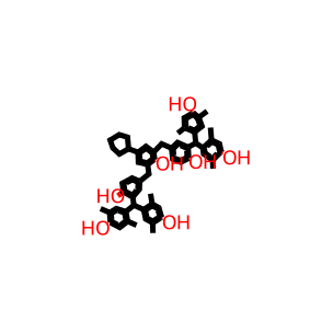 Cc1cc(C(c2cc(C)c(O)cc2C)c2cc(Cc3cc(C4CCCCC4)cc(Cc4ccc(O)c(C(c5cc(C)c(O)cc5C)c5cc(C)c(O)cc5C)c4)c3O)ccc2O)c(C)cc1O